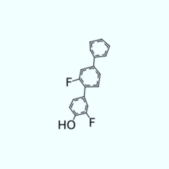 Oc1ccc(-c2ccc(-c3ccccc3)cc2F)cc1F